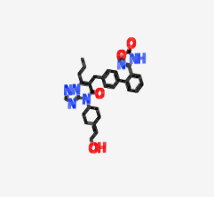 CCCc1c(Cc2ccc(-c3ccccc3-c3noc(=O)[nH]3)cc2)c(=O)n(C2CCC(=CCO)CC2)c2ncnn12